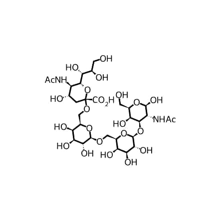 CC(=O)N[C@@H]1[C@@H](O[C@@H]2O[C@H](CO[C@@H]3O[C@H](CO[C@]4(C(=O)O)C[C@H](O)[C@@H](NC(C)=O)[C@H]([C@H](O)[C@H](O)CO)O4)[C@H](O)[C@H](O)[C@H]3O)[C@H](O)[C@H](O)[C@H]2O)[C@@H](O)[C@@H](CO)O[C@H]1O